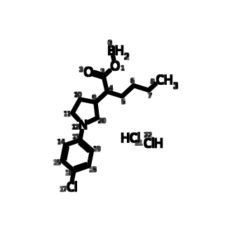 BOC(=O)C(CCCC)C1CCN(c2ccc(Cl)cc2)C1.Cl.Cl